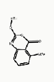 CCCCOc1nc2cccc(SC)c2c(=O)o1